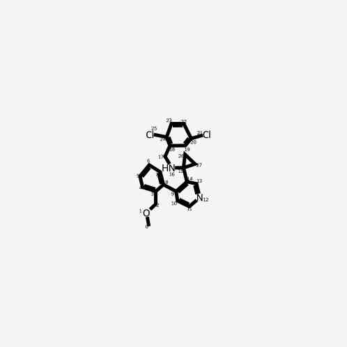 COCc1ccccc1-c1ccncc1C1(NCc2cc(Cl)ccc2Cl)CC1